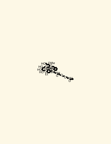 C#CC(=O)NCCOCCOCCC(=O)NCCNC(=O)C1CC(CC)C(O[C@@H]2OC(C)[C@@H](O)C(O)C2O)[C@H](O[C@@H]2OC(CO)[C@H](OC)C(O[C@@H](C=O)CC3CCCCC3)C2NC(C)=O)C1